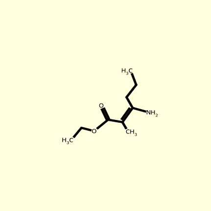 CCCC(N)=C(C)C(=O)OCC